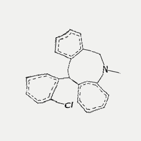 CN1Cc2ccccc2C(c2ccccc2Cl)c2ccccc21